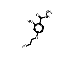 NNC(=O)c1ccc(OCCO)cc1O